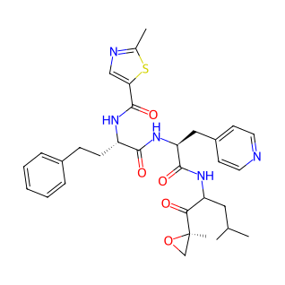 Cc1ncc(C(=O)N[C@@H](CCc2ccccc2)C(=O)N[C@@H](Cc2ccncc2)C(=O)NC(CC(C)C)C(=O)[C@@]2(C)CO2)s1